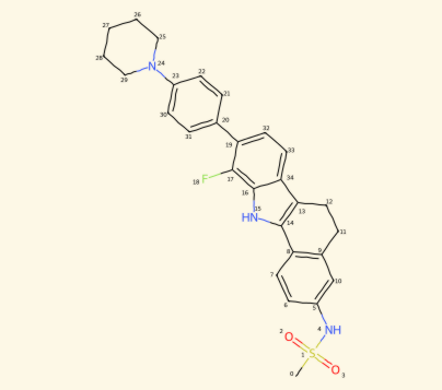 CS(=O)(=O)Nc1ccc2c(c1)CCc1c-2[nH]c2c(F)c(-c3ccc(N4CCCCC4)cc3)ccc12